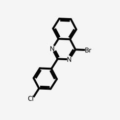 Clc1ccc(-c2nc(Br)c3ccccc3n2)cc1